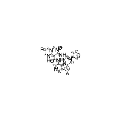 CN1CC(F)CNC1C(C(=O)Nc1cncc(C2CC2)c1N1CCN([C@H]2CCOC2)CC1)C(N)N=O